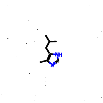 Cc1nc[nH]c1CC(C)C